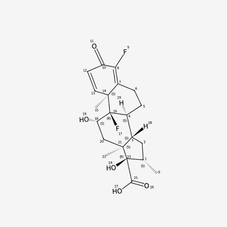 C[C@H]1C[C@H]2[C@@H]3CCC4=C(F)C(=O)C=C[C@]4(C)[C@@]3(F)[C@@H](O)C[C@]2(C)[C@@]1(O)C(=O)O